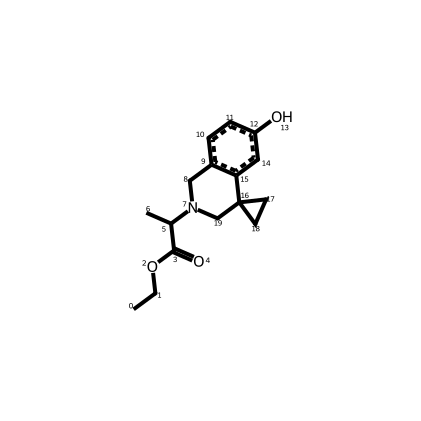 CCOC(=O)C(C)N1Cc2ccc(O)cc2C2(CC2)C1